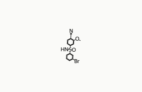 COc1cc(S(=N)(=O)c2cccc(Br)c2)ccc1C#N